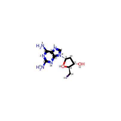 Nc1nc(N)c2ncn([C@@H]3C[C@H](O)[C@@H](CI)O3)c2n1